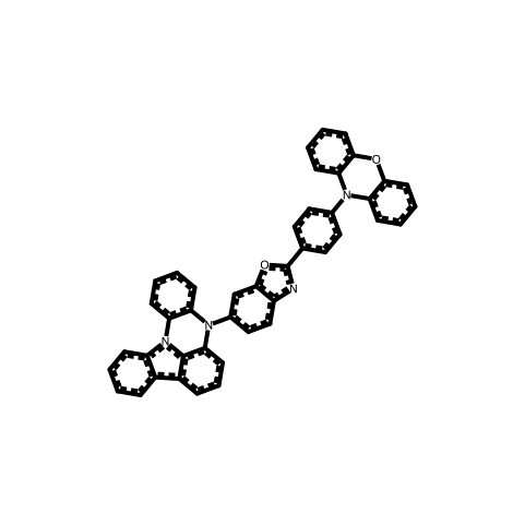 c1ccc2c(c1)Oc1ccccc1N2c1ccc(-c2nc3ccc(N4c5ccccc5-n5c6ccccc6c6cccc4c65)cc3o2)cc1